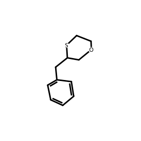 c1ccc(CC2COCCS2)cc1